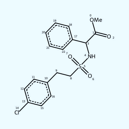 COC(=O)C(NS(=O)(=O)CCc1ccc(Cl)cc1)c1ccccc1